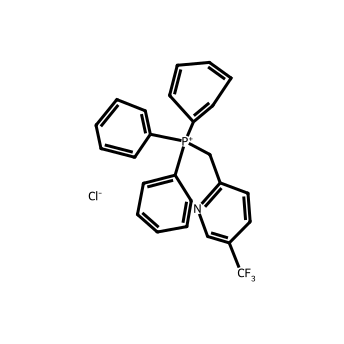 FC(F)(F)c1ccc(C[P+](c2ccccc2)(c2ccccc2)c2ccccc2)nc1.[Cl-]